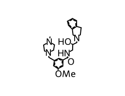 COc1cc(CN2CCN(C)CC2)cc(C(=O)NCC(O)CN2CCc3ccccc3C2)c1